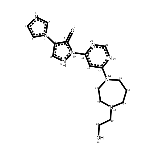 O=c1c(-n2ccnc2)c[nH]n1-c1cc(N2CCCN(CCO)CC2)ncn1